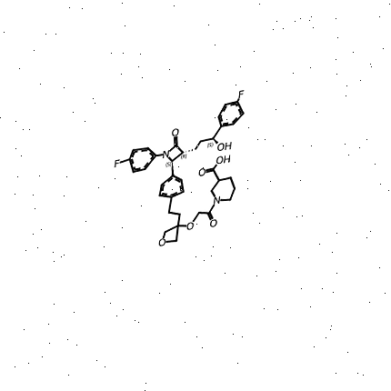 O=C(O)C1CCCN(C(=O)COC2(CCc3ccc([C@@H]4[C@@H](CC[C@H](O)c5ccc(F)cc5)C(=O)N4c4ccc(F)cc4)cc3)COC2)C1